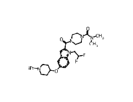 CC(C)N1CCC(Oc2ccc3c(c2)cc(C(=O)N2CCN(C(=O)N(C)C)CC2)n3CC(F)F)CC1